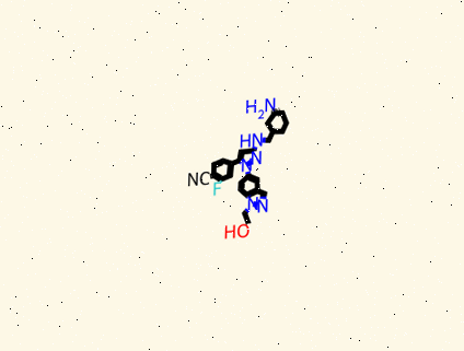 N#Cc1ccc(-c2cc(NCC3CCC[C@@H](N)C3)nn2-c2ccc3c(cnn3CCO)c2)cc1F